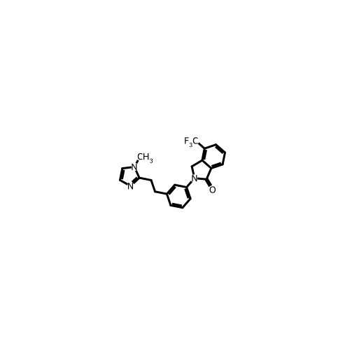 Cn1ccnc1CCc1cccc(N2Cc3c(cccc3C(F)(F)F)C2=O)c1